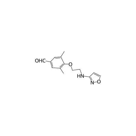 Cc1cc(C=O)cc(C)c1OCCNc1ccon1